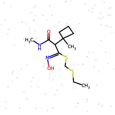 CCSCSC(=NO)C(C(=O)NC)C1(C)CCC1